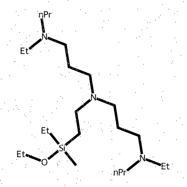 CCCN(CC)CCCN(CCCN(CC)CCC)CC[Si](C)(CC)OCC